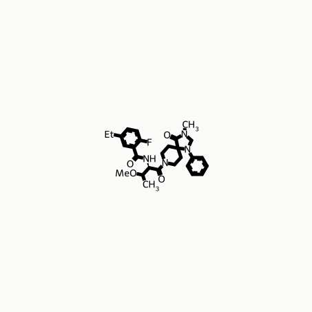 CCc1ccc(F)c(C(=O)N[C@H](C(=O)N2CCC3(CC2)C(=O)N(C)CN3c2ccccc2)C(C)OC)c1